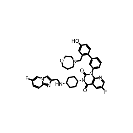 O=c1c2cc(F)cnc2n(-c2cccc(-c3ccc(O)cc3CN3CCCOCC3)c2)c(=O)n1[C@H]1CC[C@@H](NCc2cn3cc(F)ccc3n2)CC1